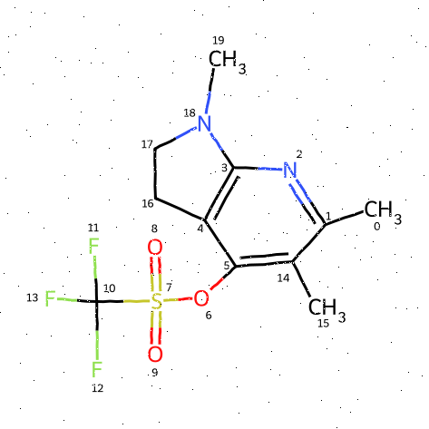 Cc1nc2c(c(OS(=O)(=O)C(F)(F)F)c1C)CCN2C